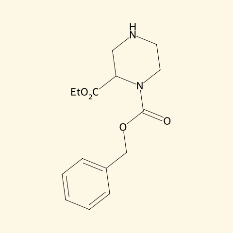 CCOC(=O)C1CNCCN1C(=O)OCc1ccccc1